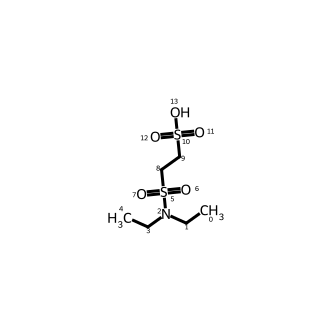 CCN(CC)S(=O)(=O)CCS(=O)(=O)O